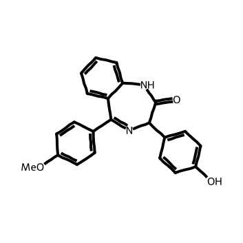 COc1ccc(C2=NC(c3ccc(O)cc3)C(=O)Nc3ccccc32)cc1